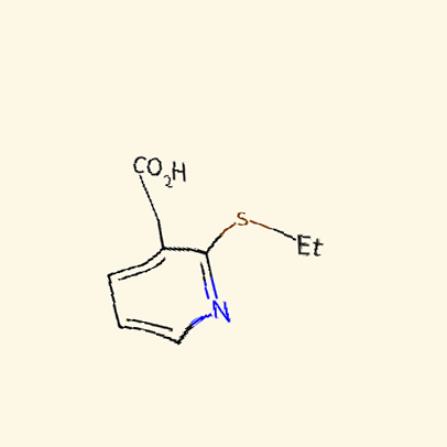 CCSc1ncccc1C(=O)O